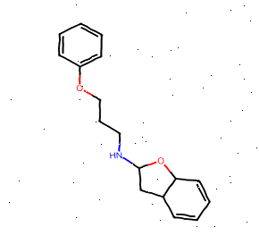 C1=CC2CC(NCCCOc3ccccc3)OC2C=C1